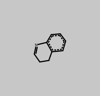 [CH]1CC=Nc2ccccc21